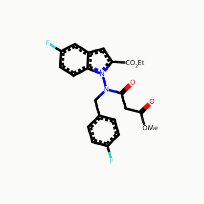 CCOC(=O)c1cc2cc(F)ccc2n1N(Cc1ccc(F)cc1)C(=O)CC(=O)OC